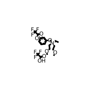 CC[N+](CCOC)(CCOC)Oc1ccccc1.O=C(O)C(F)(F)F.O=C(O)C(F)(F)F